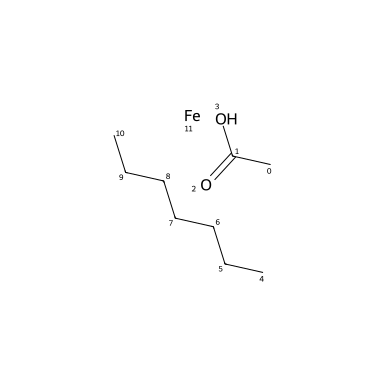 CC(=O)O.CCCCCCC.[Fe]